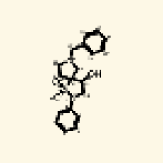 O=S1(=O)N(c2ccccc2)CC(O)C12CCN(Cc1ccccc1)C2